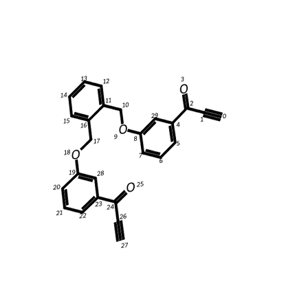 C#CC(=O)c1cccc(OCc2ccccc2COc2cccc(C(=O)C#C)c2)c1